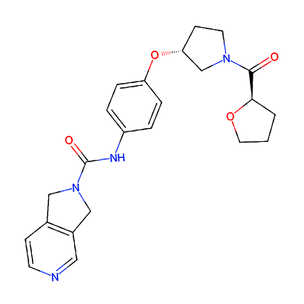 O=C(Nc1ccc(O[C@@H]2CCN(C(=O)[C@H]3CCCO3)C2)cc1)N1Cc2ccncc2C1